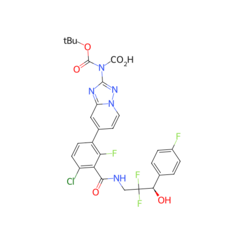 CC(C)(C)OC(=O)N(C(=O)O)c1nc2cc(-c3ccc(Cl)c(C(=O)NCC(F)(F)[C@H](O)c4ccc(F)cc4)c3F)ccn2n1